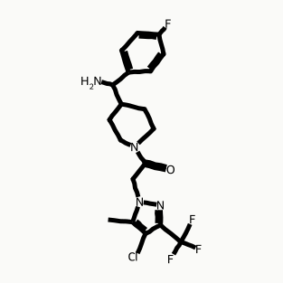 Cc1c(Cl)c(C(F)(F)F)nn1CC(=O)N1CCC(C(N)c2ccc(F)cc2)CC1